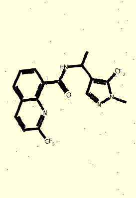 CC(NC(=O)c1cccc2ccc(C(F)(F)F)nc12)c1cnn(C)c1C(F)(F)F